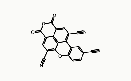 C#Cc1ccc2oc3c(C#N)cc4c(=O)oc(=O)c5cc(C#N)c(c2c1)c3c45